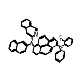 Fc1ccccc1N(c1ccccc1)c1ccc2ccc3c(N(c4ccc5ccccc5c4)c4cc5ccccc5cn4)ccc4ccc1c2c43